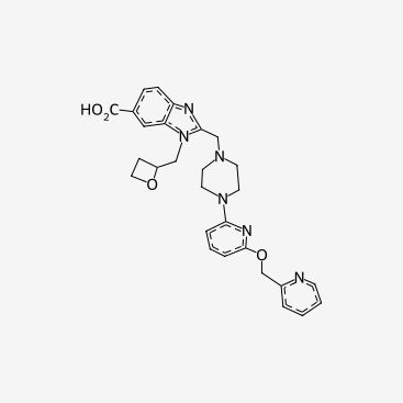 O=C(O)c1ccc2nc(CN3CCN(c4cccc(OCc5ccccn5)n4)CC3)n(CC3CCO3)c2c1